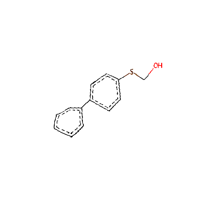 OCSc1ccc(-c2ccccc2)cc1